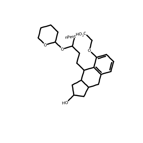 CCCCCC(CCC1c2c(cccc2OCC(=O)O)CC2CC(O)CC21)OC1CCCCO1